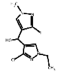 CCn1cc(C(O)c2cn(C)nc2I)c(Cl)n1